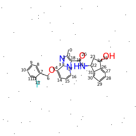 Cc1nc2c(OCc3ccccc3F)cccn2c1C(=O)N[C@H]1C[C@@H](O)c2ccccc21